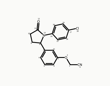 N#CCOc1cccc(C2CCC(=O)N2c2ccc(Cl)cc2)c1